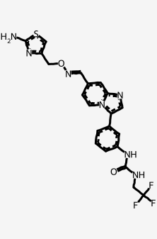 Nc1nc(CO/N=C/c2ccn3c(-c4cccc(NC(=O)NCC(F)(F)F)c4)cnc3c2)cs1